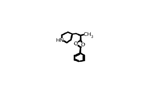 CC(CC1CCNCC1)C1OC(c2ccccc2)O1